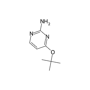 CC(C)(C)Oc1ccnc(N)n1